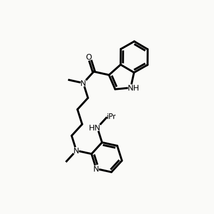 CC(C)Nc1cccnc1N(C)CCCCN(C)C(=O)c1c[nH]c2ccccc12